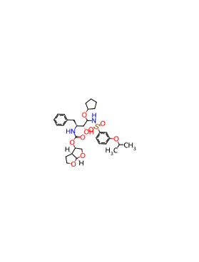 CC(C)Oc1cccc(S(=O)(=O)NC(OC2CCCC2)[C@H](O)[C@H](Cc2ccccc2)NC(=O)O[C@H]2CO[C@H]3OCC[C@H]32)c1